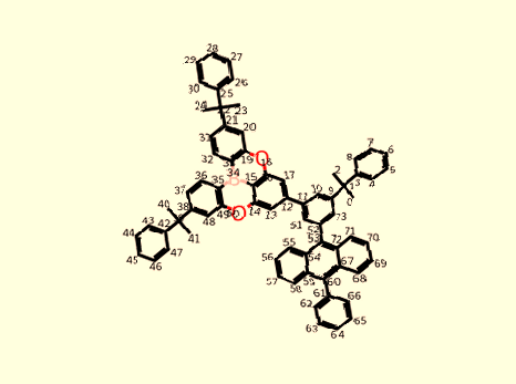 CC(C)(c1ccccc1)c1cc(-c2cc3c4c(c2)Oc2cc(C(C)(C)c5ccccc5)ccc2B4c2ccc(C(C)(C)c4ccccc4)cc2O3)cc(-c2c3ccccc3c(-c3ccccc3)c3ccccc23)c1